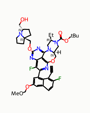 C#Cc1c(F)ccc2cc(OCOC)cc(-c3nc4c5c(nc(OC[C@@]67CCCN6[C@H](CO)CC7)nc5c3F)N3C[C@@H](CC)N(C(=O)OC(C)(C)C)C[C@H]3CO4)c12